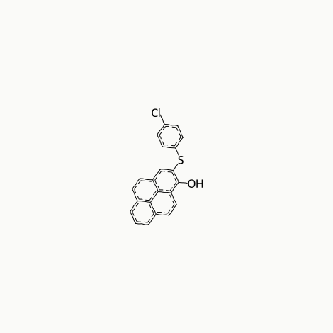 Oc1c(Sc2ccc(Cl)cc2)cc2ccc3cccc4ccc1c2c34